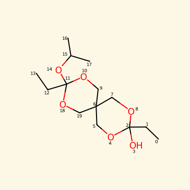 CCC1(O)OCC2(CO1)COC(CC)(OC(C)C)OC2